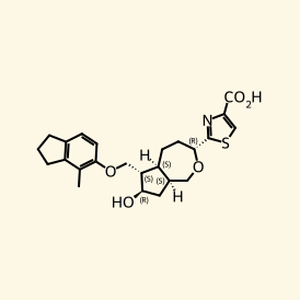 Cc1c(OC[C@@H]2[C@H]3CC[C@H](c4nc(C(=O)O)cs4)OC[C@H]3C[C@H]2O)ccc2c1CCC2